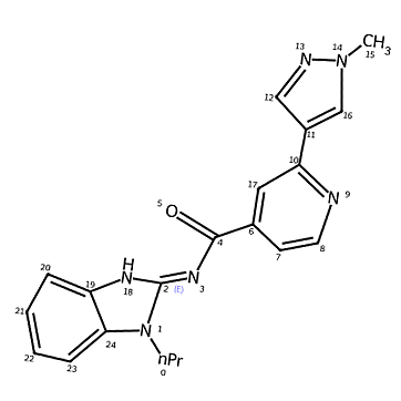 CCCn1/c(=N/C(=O)c2ccnc(-c3cnn(C)c3)c2)[nH]c2ccccc21